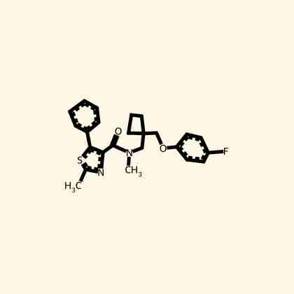 Cc1nc(C(=O)N(C)CC2(COc3ccc(F)cc3)CCC2)c(-c2ccccc2)s1